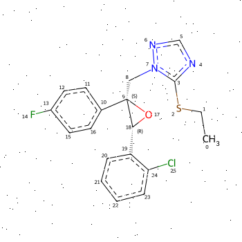 CCSc1ncnn1C[C@]1(c2ccc(F)cc2)O[C@@H]1c1ccccc1Cl